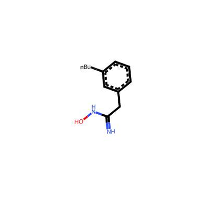 CCCCc1cccc(CC(=N)NO)c1